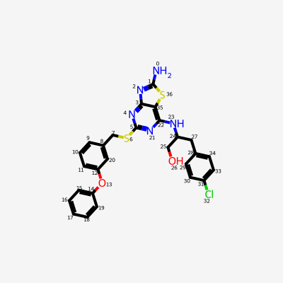 Nc1nc2nc(SCc3cccc(Oc4ccccc4)c3)nc(NC(CO)Cc3ccc(Cl)cc3)c2s1